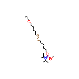 [2H]OCCCCCCSSCCCCCCOP(OC)N(C(C)C)C(C)C